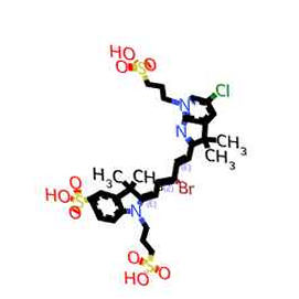 CC1(C)C(/C=C/C(Br)=C/C=C2/N(CCCS(=O)(=O)O)c3ccc(S(=O)(=O)O)cc3C2(C)C)=Nc2c1cc(Cl)c[n+]2CCCS(=O)(=O)O